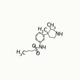 CCCS(=O)(=O)Nc1cccc([C@@]2(C)CCNC[C@@H]2C)c1